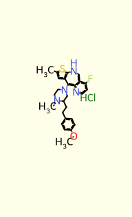 COc1ccc(CCC2CN(C3=c4nccc(F)c4=CNc4sc(C)cc43)CCN2C)cc1.Cl